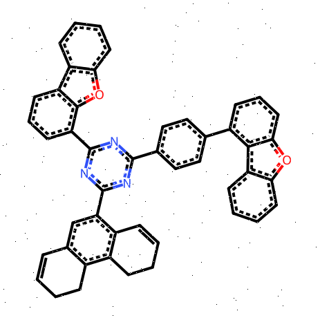 C1=Cc2cc(-c3nc(-c4ccc(-c5cccc6oc7ccccc7c56)cc4)nc(-c4cccc5c4oc4ccccc45)n3)c3c(c2CC1)CCC=C3